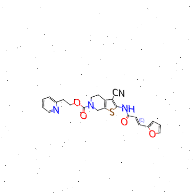 N#Cc1c(NC(=O)/C=C/c2ccco2)sc2c1CCN(C(=O)OCCc1ccccn1)C2